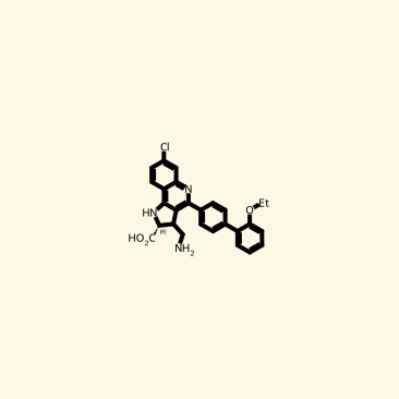 CCOc1ccccc1-c1ccc(-c2nc3cc(Cl)ccc3c3c2C(CN)[C@H](C(=O)O)N3)cc1